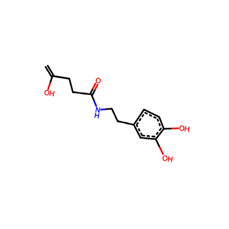 C=C(O)CCC(=O)NCCc1ccc(O)c(O)c1